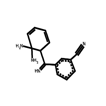 N#Cc1cccc(C(=N)C2C=CC=CC2(N)N)c1